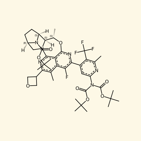 Cc1nc(N(C(=O)OC(C)(C)C)C(=O)OC(C)(C)C)cc(-c2nc3c4c(nc(C5COC5)c(C)c4c2F)N2C[C@H]4CC[C@@H]([C@H]2[C@H](C)O3)N4C(=O)OC(C)(C)C)c1C(F)(F)F